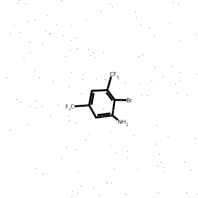 Nc1cc(C(F)(F)F)cc(C(F)(F)F)c1Br